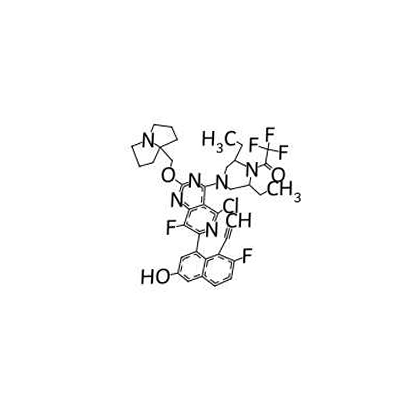 C#Cc1c(F)ccc2cc(O)cc(-c3nc(Cl)c4c(N5CC(CC)N(C(=O)C(F)(F)F)C(CC)C5)nc(OCC56CCCN5CCC6)nc4c3F)c12